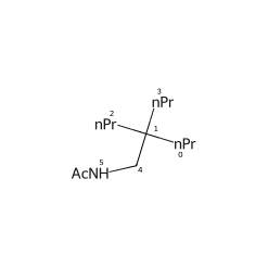 CCCC(CCC)(CCC)CNC(C)=O